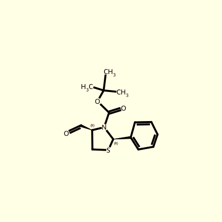 CC(C)(C)OC(=O)N1[C@H](C=O)CS[C@@H]1c1ccccc1